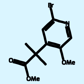 COC(=O)C(C)(C)c1cc(Br)ncc1OC